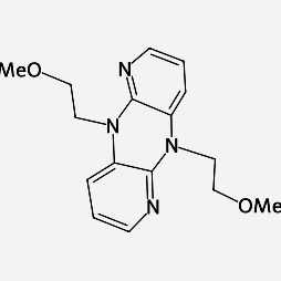 COCCN1c2cccnc2N(CCOC)c2cccnc21